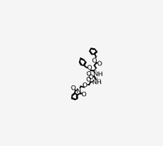 C[C@H](NC(=O)COCCN1C(=O)c2ccccc2C1=O)C(=O)N[C@H](CCC(=O)OCc1ccccc1)C(=O)OCc1ccccc1